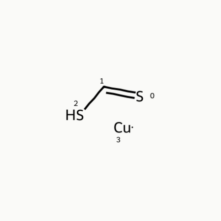 S=CS.[Cu]